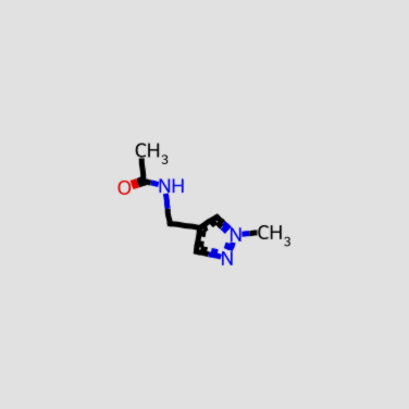 CC(=O)NCc1cnn(C)c1